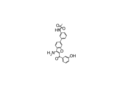 CS(=O)(=O)Nc1cccc(-c2ccc3c(N)c(C(=O)c4cccc(O)c4)oc3c2)c1